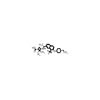 CC[C@H]1CC[C@@H](Oc2ccc3ccc([C@@H](C)N[C@@H]4C[C@H](C(=O)O)C4(C)C)cc3c2C(F)(F)F)CC1